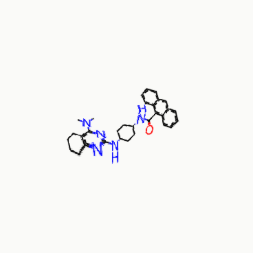 CN(C)c1nc(N[C@H]2CC[C@@H](NC(=O)c3c4ccccc4cc4ccccc34)CC2)nc2c1CCCC2